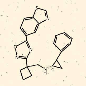 c1ccc(C2C[C@@H]2NCC2(c3noc(-c4ccc5scnc5c4)n3)CCC2)cc1